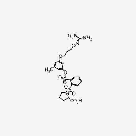 Cc1cc(OCCCON=C(N)N)cc(OS(=O)(=O)c2ccccc2S(=O)(=O)N2CCCC2C(=O)O)c1